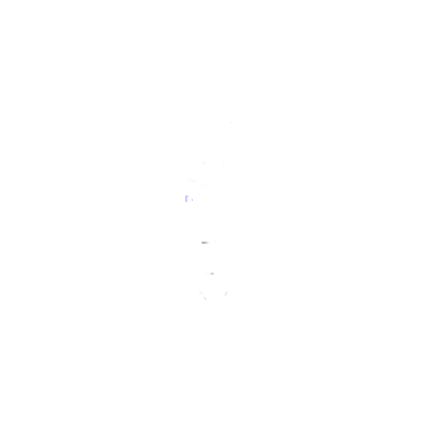 O=C(CCNS(=O)(=O)c1ccc(Br)cc1)Oc1ccc2c(c1)CCC2